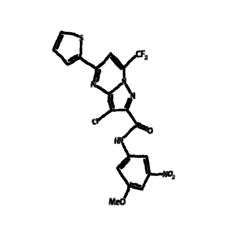 COc1cc(NC(=O)c2nn3c(C(F)(F)F)cc(-c4cccs4)nc3c2Cl)cc([N+](=O)[O-])c1